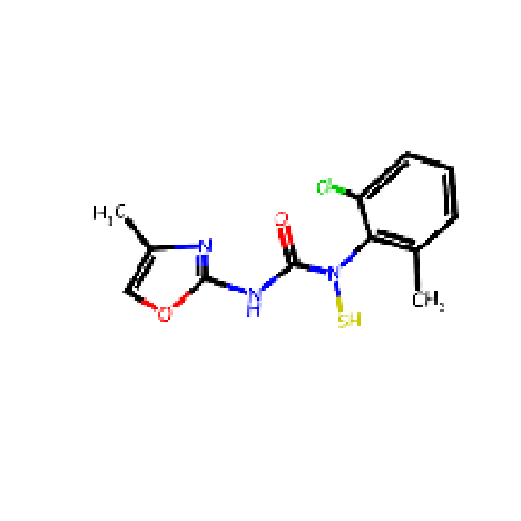 Cc1coc(NC(=O)N(S)c2c(C)cccc2Cl)n1